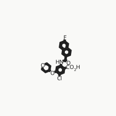 O=C(Nc1cc(OC2CCOCC2)c(Cl)cc1C(=O)O)c1ccc2cc(F)ccc2c1